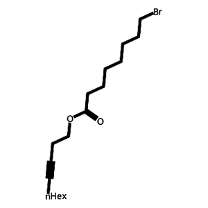 CCCCCCC#CCCOC(=O)CCCCCCCBr